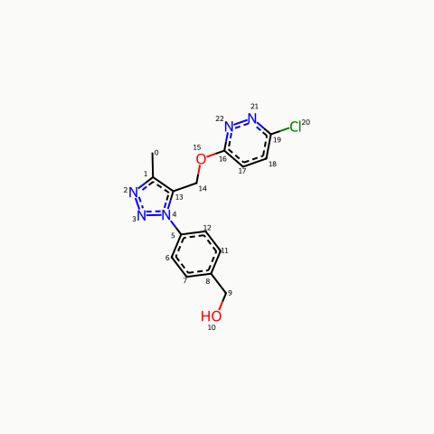 Cc1nnn(-c2ccc(CO)cc2)c1COc1ccc(Cl)nn1